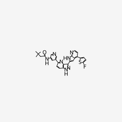 CC(C)(C)CC(=O)Nc1cncc(-c2ccc3[nH]nc(-c4cc5c(-c6ccc(F)s6)ccnc5[nH]4)c3n2)c1